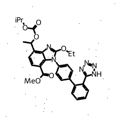 CCOc1nc2c(C(C)OC(=O)OC(C)C)ccc(C(=O)OC)c2n1-c1ccc(-c2ccccc2-c2nnn[nH]2)cc1